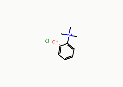 C[N+](C)(C)c1ccccc1.O.[Cl-]